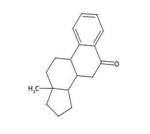 CC12[CH]CCC1C1CC(=O)c3c[c]ccc3C1CC2